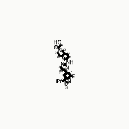 CC(C)c1c2cc(-c3nc(Nc4ccc5c(n4)CCN(C(=O)CO)C5)ncc3F)cc(F)c2nn1C